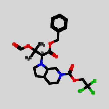 CC(C)(O[C]=O)[C@@H](C(=O)OCc1ccccc1)N1CCC2CCN(C(=O)OCC(Cl)(Cl)Cl)CC21